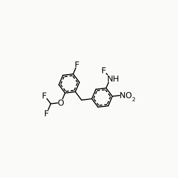 O=[N+]([O-])c1ccc(Cc2cc(F)ccc2OC(F)F)cc1NF